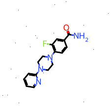 NC(=O)c1ccc(N2CCN(c3ccccn3)CC2)c(F)c1